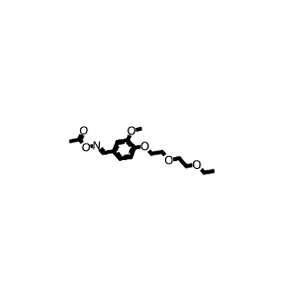 CCOCCOCCOc1ccc(/C=N/OC(C)=O)cc1OC